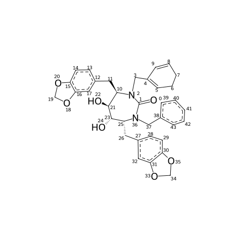 O=C1N(CC2=CCCC=C2)[C@H](Cc2ccc3c(c2)OCO3)[C@H](O)[C@@H](O)[C@@H](Cc2ccc3c(c2)OCO3)N1Cc1ccccc1